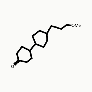 COCCCC1CCC(C2CCC(=O)CC2)CC1